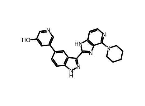 Oc1cncc(-c2ccc3[nH]nc(-c4nc5c(N6CCCCC6)nccc5[nH]4)c3c2)c1